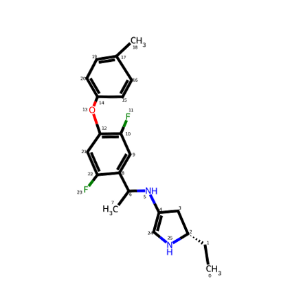 CC[C@H]1CC(NC(C)c2cc(F)c(Oc3ccc(C)cc3)cc2F)=CN1